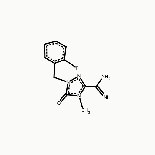 Cn1c(C(=N)N)nn(Cc2ccccc2F)c1=O